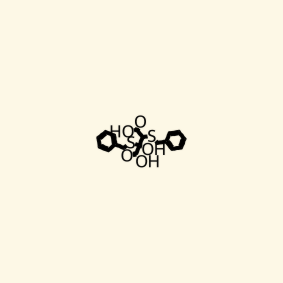 O=C(O)C(SCc1ccccc1)C(O)(SCc1ccccc1)C(=O)O